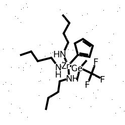 CCCC[NH][Zr]([NH]CCCC)([NH]CCCC)([C]1=CC=CC1)[Ge]([CH3])([CH3])[C](F)(F)F